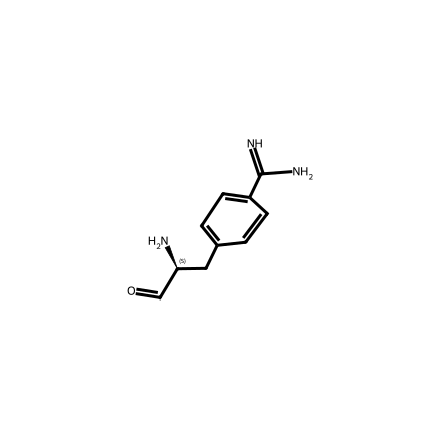 N=C(N)c1ccc(C[C@H](N)[C]=O)cc1